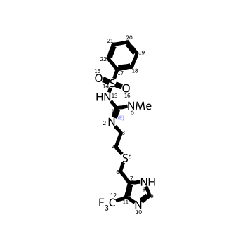 CN/C(=N\CCSCc1[nH]cnc1C(F)(F)F)NS(=O)(=O)c1ccccc1